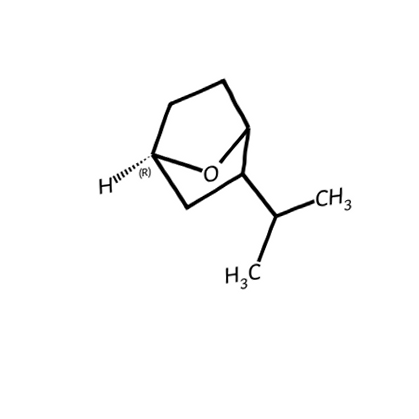 CC(C)C1C[C@H]2CCC1O2